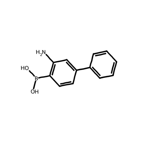 Nc1cc(-c2ccccc2)ccc1B(O)O